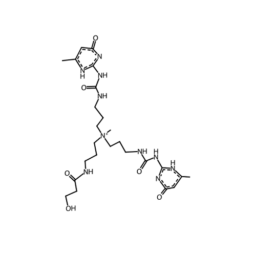 Cc1cc(=O)nc(NC(=O)NCCC[N+](C)(CCCNC(=O)CCO)CCCNC(=O)Nc2nc(=O)cc(C)[nH]2)[nH]1